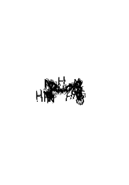 O=C1NC(=O)/C(=C\c2ccnc(N3CCC(CNCc4cccnc4-c4cn[nH]c4)CC3)n2)S1